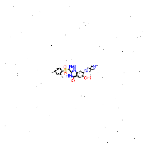 Cc1ccc(S(=O)(=O)c2nnn3c2[nH]c(=O)c2cc(O)c(N4CC5(CN(C)C5)C4)cc23)c(C)c1